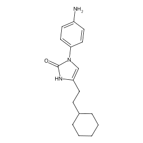 Nc1ccc(-n2cc(CCC3CCCCC3)[nH]c2=O)cc1